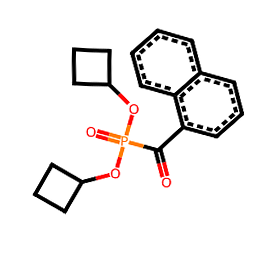 O=C(c1cccc2ccccc12)P(=O)(OC1CCC1)OC1CCC1